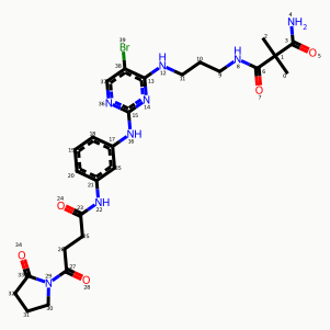 CC(C)(C(N)=O)C(=O)NCCCNc1nc(Nc2cccc(NC(=O)CCC(=O)N3CCCC3=O)c2)ncc1Br